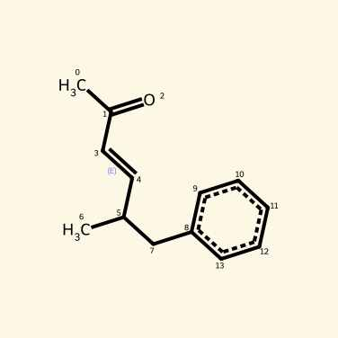 CC(=O)/C=C/C(C)Cc1ccccc1